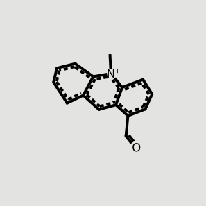 C[n+]1c2ccccc2cc2c(C=O)cccc21